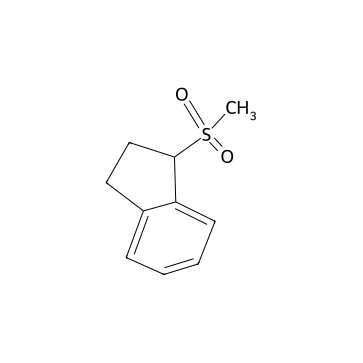 CS(=O)(=O)C1CCc2ccccc21